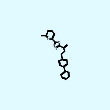 C=C(CCc1ccc(-c2ccccc2)cc1)c1nnc(-c2cccc(C)n2)o1